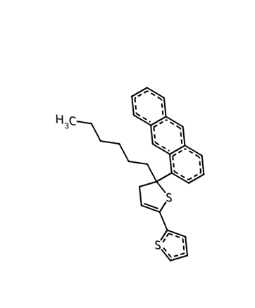 CCCCCCC1(c2cccc3cc4ccccc4cc23)CC=C(c2cccs2)S1